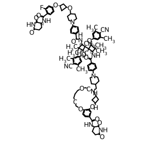 Cc1cc(O[C@@H]2C(C)(C)[C@@H](NC(=O)c3ccc(N4CCC(O[C@H]5C[C@H](Oc6ccc(C(=O)N[C@H]7CCC(=O)NC7=O)c(F)c6)C5)CC4)cc3)C2(C)C2(C)[C@@H](NC(=O)c3ccc(N4CCC(CN5CCOCCCCCOc6ccc(C(=O)NC7CCC(=O)NC7=O)cc6O[C@H]6C[C@H]5C6)CC4)cc3)C(C)(C)[C@@H]2Oc2cc(C)c(C#N)c(C)c2)cc(C)c1C#N